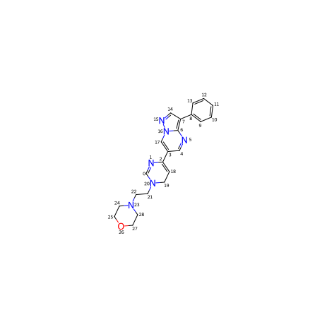 C1=NC(c2cnc3c(-c4ccccc4)cnn3c2)=CCN1CCN1CCOCC1